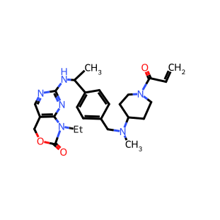 C=CC(=O)N1CCC(N(C)Cc2ccc(C(C)Nc3ncc4c(n3)N(CC)C(=O)OC4)cc2)CC1